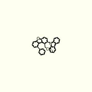 CCc1c(-n2c3ccccc3c3ccccc32)ccc2oc3cccc(-c4ccccc4)c3c12